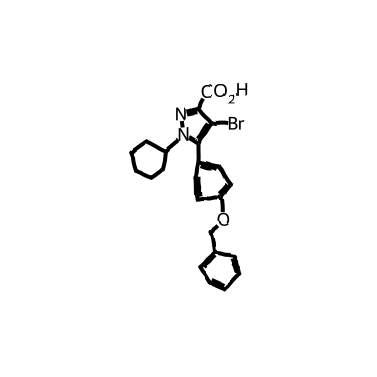 O=C(O)c1nn(C2CCCCC2)c(-c2ccc(OCc3ccccc3)cc2)c1Br